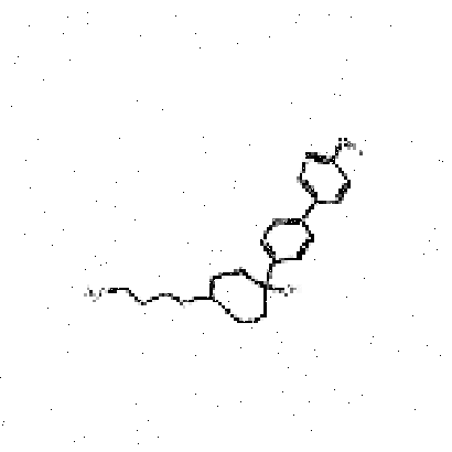 CCCCOC1CCC(O)(c2ccc(-c3ccc(N)cc3)cc2)CC1